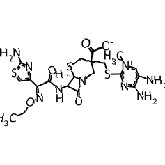 CCON=C(C(=O)NC1C(=O)N2CC(CSc3nc(N)c(N)c[n+]3C)(C(=O)[O-])CS[C@H]12)c1csc(N)n1